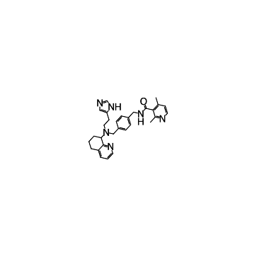 Cc1ccnc(C)c1C(=O)NCc1ccc(CN(CCc2cnc[nH]2)C2CCCc3cccnc32)cc1